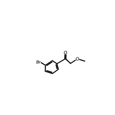 COCC(=O)c1cccc(Br)c1